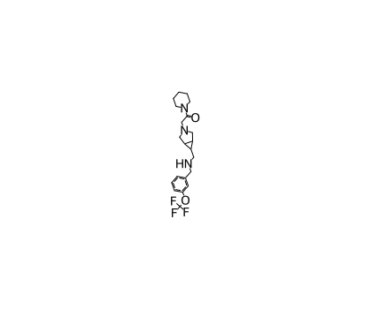 O=C(CN1CC2C(CNCc3cccc(OC(F)(F)F)c3)C2C1)N1CCCCC1